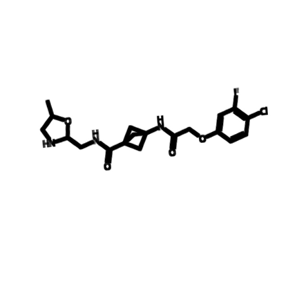 CC1CNC(CNC(=O)C23CC(NC(=O)COc4ccc(Cl)c(F)c4)(C2)C3)O1